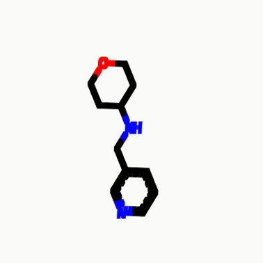 c1cncc(CNC2CCOCC2)c1